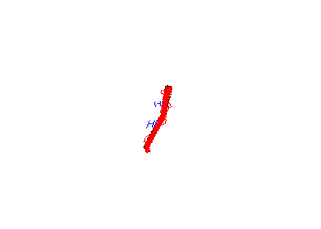 CCCCOC(=O)CCCCCCCNC(=O)COCCOCCOCC(=O)NCCCCCCCC(=O)OCCCC